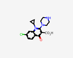 O=C(O)c1c(N2CCNCC2)n(C2CC2)c2cc(Cl)ccc2c1=O